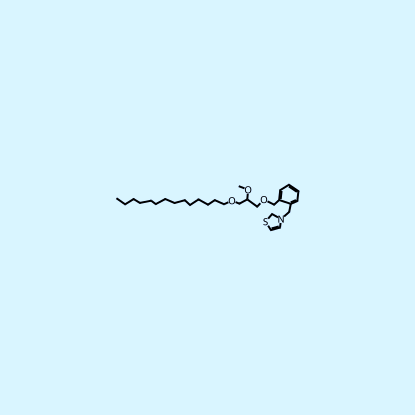 CCCCCCCCCCCCCCOCC(COCc1ccccc1CN1C=CSC1)OC